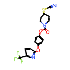 N#CSC1CCN(C(=O)Oc2ccc(Oc3ccc(C(F)(F)F)cn3)cc2)CC1